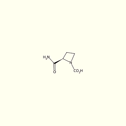 NC(=O)[C@H]1CCN1C(=O)O